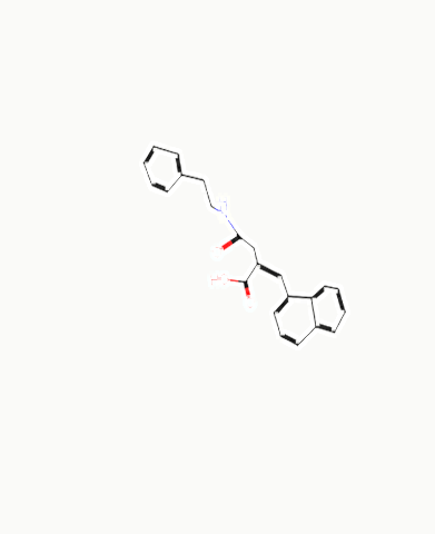 O=C(CC(=Cc1cccc2ccccc12)C(=O)O)NCCc1ccccc1